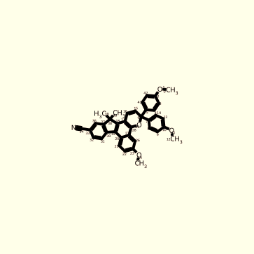 COc1ccc(C2(c3ccc(OC)cc3)C=Cc3c4c(c5ccc(OC)cc5c3O2)-c2ccc(C#N)cc2C4(C)C)cc1